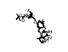 Cc1c[nH]c2c(=O)[nH]c(=S)n(Cc3cc(F)cc(OC/C(=C/F)CNC(=O)OC(C)(C)C)c3)c12